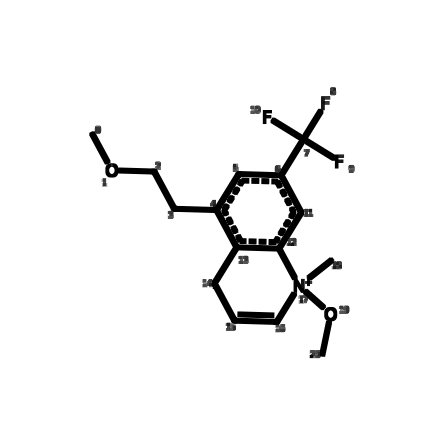 COCCc1cc(C(F)(F)F)cc2c1[CH]C=C[N+]2(C)OC